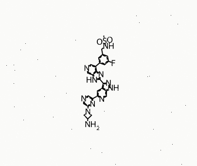 CS(=O)(=O)NCc1cc(F)cc(-c2cncc3[nH]c(-c4n[nH]c5cnc(-c6cncc(N7CC(N)C7)n6)cc45)nc23)c1